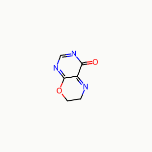 O=C1N=CN=C2OCCN=C12